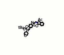 CC(=O)N1/C(=C/c2nc3ccc(CN(C(=O)OC(C)(C)C)C4CCOCC4)cc3s2)C(=O)c2ccccc21